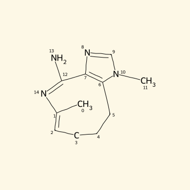 CC1=C\CCCc2c(ncn2C)/C(N)=N\1